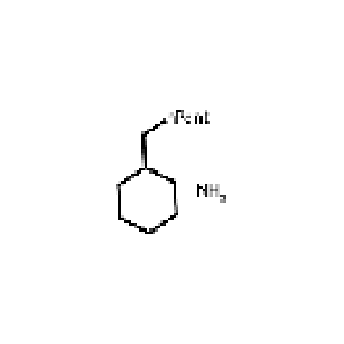 CCCCCCC1CCCCC1.N